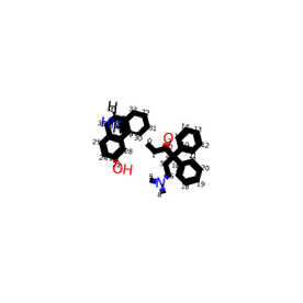 CCC(=O)C(CCN(C)C)(c1ccccc1)c1ccccc1.Oc1ccc2c(c1)[C@@]13CCCC[C@H]1[C@@H](C2)NCC3